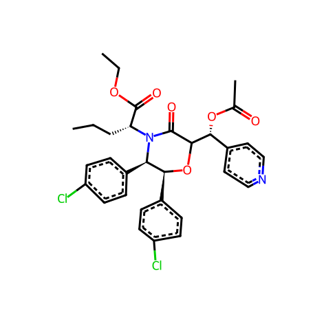 CCC[C@H](C(=O)OCC)N1C(=O)C([C@H](OC(C)=O)c2ccncc2)O[C@@H](c2ccc(Cl)cc2)[C@H]1c1ccc(Cl)cc1